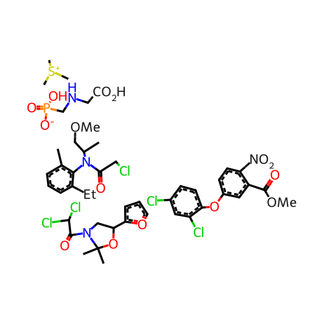 CC1(C)OC(c2ccco2)CN1C(=O)C(Cl)Cl.CCc1cccc(C)c1N(C(=O)CCl)C(C)COC.COC(=O)c1cc(Oc2ccc(Cl)cc2Cl)ccc1[N+](=O)[O-].C[S+](C)C.O=C(O)CNCP(=O)([O-])O